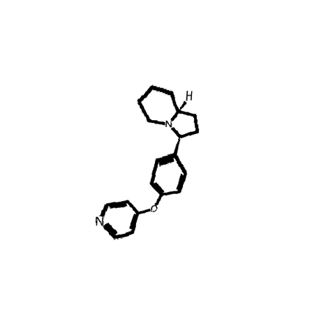 c1cc(Oc2ccc([C@@H]3CC[C@H]4CCCCN43)cc2)ccn1